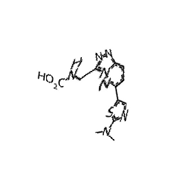 CN(C)c1ncc(-c2ccc3nnc(CNC(=O)O)n3n2)s1